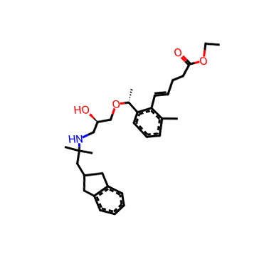 CCOC(=O)CC/C=C/c1c(C)cccc1[C@@H](C)OC[C@H](O)CNC(C)(C)CC1Cc2ccccc2C1